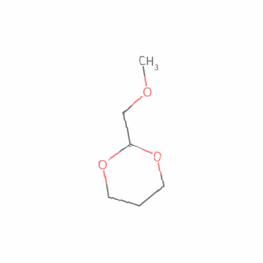 COC[C]1OCCCO1